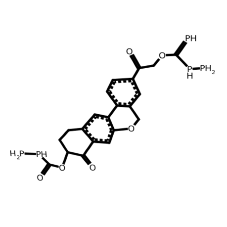 O=C(OC1CCc2cc3c(cc2C1=O)OCc1cc(C(=O)COC(=P)PP)ccc1-3)PP